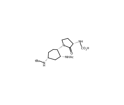 CC(=O)N[C@@H]1C[C@H](NC(C)(C)C)CC[C@@H]1N1CC[C@H](NC(=O)O)C1=O